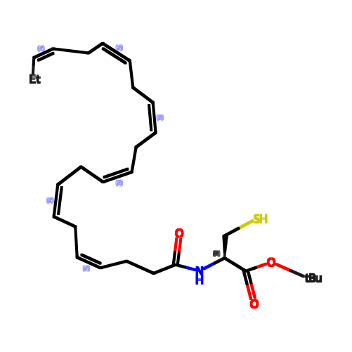 CC/C=C\C/C=C\C/C=C\C/C=C\C/C=C\C/C=C\CCC(=O)N[C@@H](CS)C(=O)OC(C)(C)C